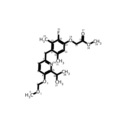 COCOc1ccc(Cc2c(C)cc(OCC(=O)OC)c(F)c2C)nc1C(C)C